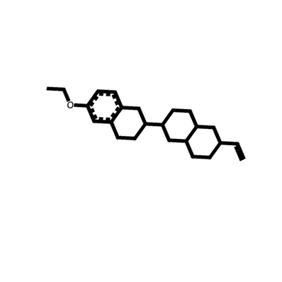 C=CC1CCC2CC(C3CCc4cc(OCC)ccc4C3)CCC2C1